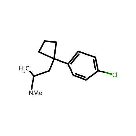 CNC(C)CC1(c2ccc(Cl)cc2)CCC1